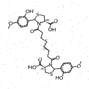 COc1ccc(C2SC[C@@H](C(=O)O)N2C(=O)CCSSCCC(=O)N2C(c3ccc(OC)cc3O)SC[C@H]2C(=O)O)c(O)c1